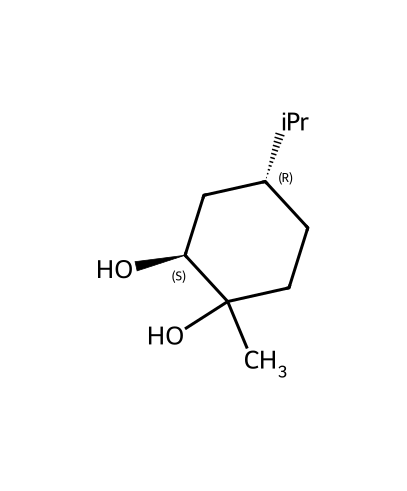 CC(C)[C@@H]1CCC(C)(O)[C@@H](O)C1